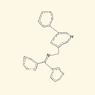 c1ccc(C(=NCc2cncc(-c3ccccc3)c2)c2ccccc2)cc1